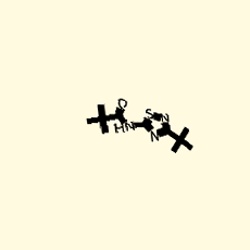 CC(C)(C)C(=O)Nc1nc(C(C)(C)C)ns1